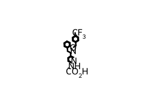 O=C(O)CNc1ccc(/C(Cc2ccccc2)=N/OCc2ccc(C(F)(F)F)cc2)cn1